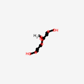 CCCOC(=O)c1cc(C#Cc2ccc3cc(OCCCCCCO)ccc3c2)ccc1OCCCCOc1ccc(C#Cc2ccc3cc(OCCCCCCO)ccc3c2)cc1